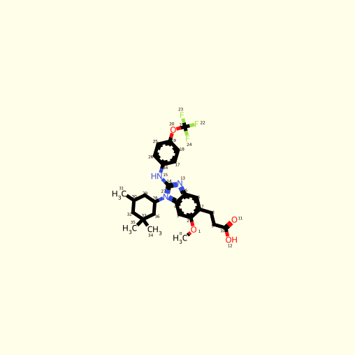 COc1cc2c(cc1CCC(=O)O)nc(Nc1ccc(OC(F)(F)F)cc1)n2C1CC(C)CC(C)(C)C1